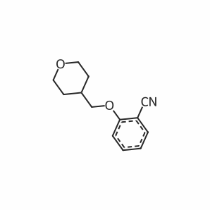 N#Cc1ccccc1OCC1CCOCC1